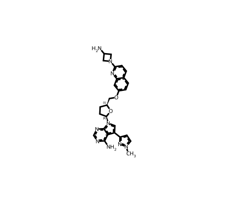 Cn1ccc(-c2cn([C@H]3CC[C@@H](COc4ccc5ccc(N6CC(N)C6)nc5c4)O3)c3ncnc(N)c23)n1